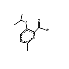 Cc1ccc(OC(C)C)c(C(=O)O)n1